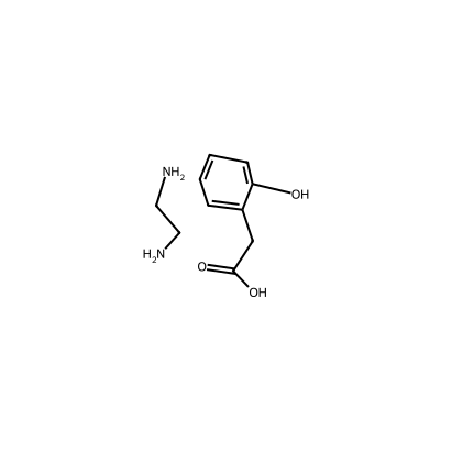 NCCN.O=C(O)Cc1ccccc1O